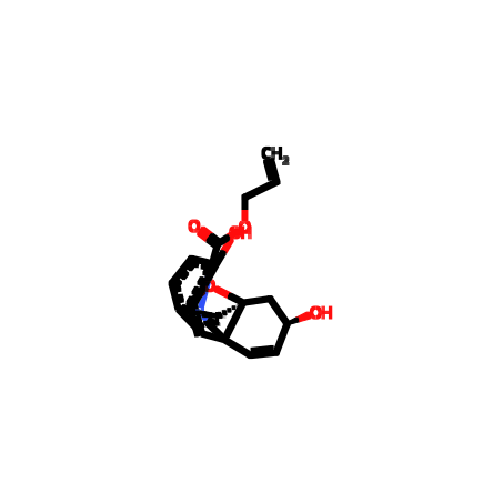 C=CCOC(=O)N1CCC23C=C[C@H](O)C[C@@H]2Oc2c(O)ccc(c23)C1